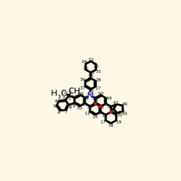 CC1(C)c2ccccc2-c2cc(-c3ccc(C4CCCCC4)cc3)c(N(c3ccc(C4CCCCC4)cc3)c3ccc(C4CC5CCC4C5)cc3)cc21